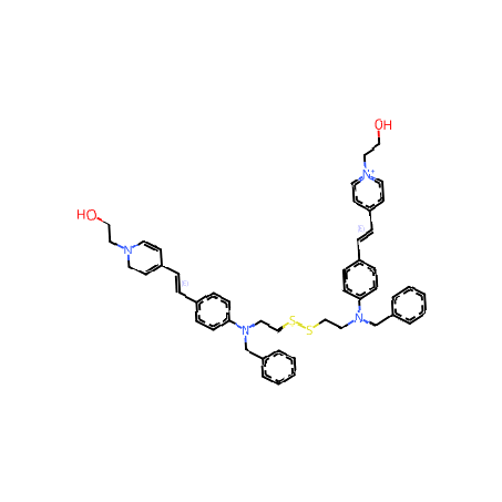 OCCN1C=CC(/C=C/c2ccc(N(CCSSCCN(Cc3ccccc3)c3ccc(/C=C/c4cc[n+](CCO)cc4)cc3)Cc3ccccc3)cc2)=CC1